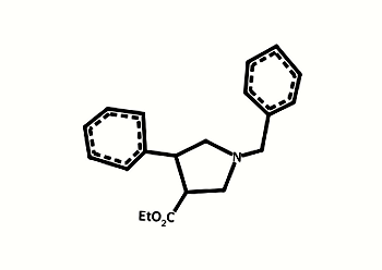 CCOC(=O)C1CN(Cc2ccccc2)CC1c1ccccc1